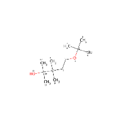 CC(C)(C)C(C)(C)OCCC(C)(C)C(C)(C)O